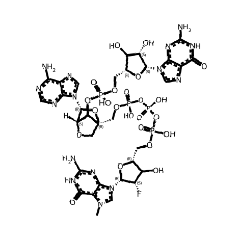 C[n+]1cn([C@@H]2O[C@H](COP(=O)(O)OP(=O)(O)OP(=O)(O)OC[C@]34CO[C@@H](C3OP(=O)(O)OC[C@H]3O[C@@H](n5cnc6c(=O)[nH]c(N)nc65)[C@@H](O)C3O)[C@H](n3cnc5c(N)ncnc53)O4)C(O)[C@@H]2F)c2nc(N)[nH]c(=O)c21